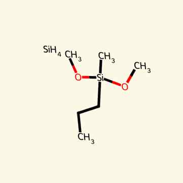 CCC[Si](C)(OC)OC.[SiH4]